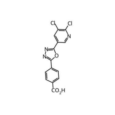 O=C(O)c1ccc(-c2nnc(-c3cnc(Cl)c(Cl)c3)o2)cc1